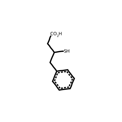 O=C(O)CC(S)Cc1ccccc1